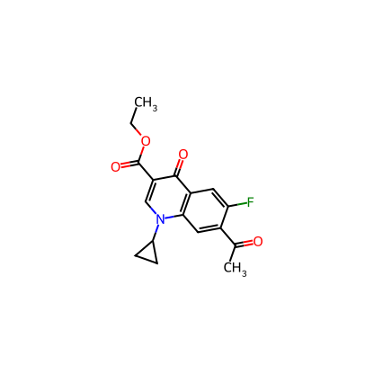 CCOC(=O)c1cn(C2CC2)c2cc(C(C)=O)c(F)cc2c1=O